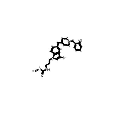 CC(C)(C)OC(=O)NCCCn1cc(Br)c2cc(CC3CCN(Cc4ccccc4Cl)CC3)ccc21